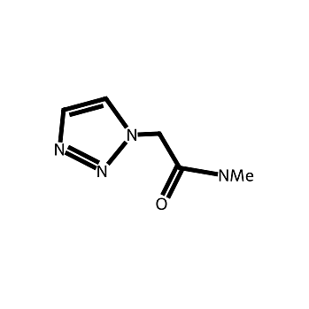 CNC(=O)Cn1ccnn1